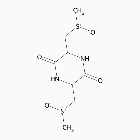 C[S+]([O-])CC1NC(=O)C(C[S+](C)[O-])NC1=O